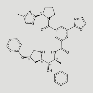 Cc1csc([C@H]2CCCN2C(=O)c2cc(C(=O)N[C@@H](Cc3ccccc3)[C@@H](O)[C@H]3C[C@@H](Oc4ccccc4)CN3)cc(-c3ncco3)c2)n1